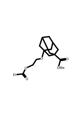 CCC(=O)OCCOC12CC3CC(C1)CC(C(=O)OC)(C3)C2